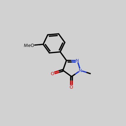 COc1cccc(C2=NN(C)C(=O)C2=O)c1